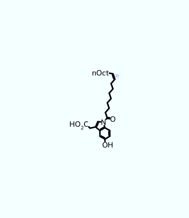 CCCCCCCC/C=C\CCCCCCCC(=O)n1cc(CC(=O)O)c2cc(O)ccc21